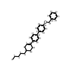 CCCCCC1CC=C(c2ccc(-c3ccc(OCc4ccccc4)cc3)cc2)CC1